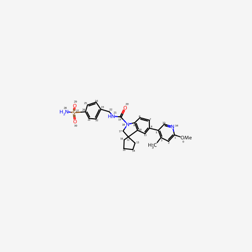 COc1cc(C)c(-c2ccc3c(c2)C2(CCCC2)CN3C(=O)NCc2ccc(S(N)(=O)=O)cc2)cn1